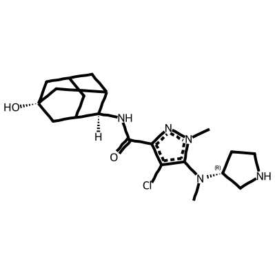 CN(c1c(Cl)c(C(=O)N[C@H]2C3CC4CC2C[C@](O)(C4)C3)nn1C)[C@@H]1CCNC1